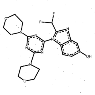 Oc1ccc2c(c1)nc(C(F)F)n2-c1nc(N2CCOCC2)nc(N2CCOCC2)n1